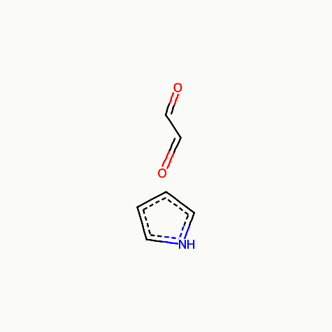 O=CC=O.c1cc[nH]c1